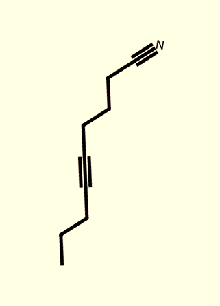 CCCC#CCCCC#N